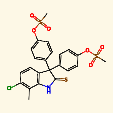 Cc1c(Cl)ccc2c1NC(=S)C2(c1ccc(OS(C)(=O)=O)cc1)c1ccc(OS(C)(=O)=O)cc1